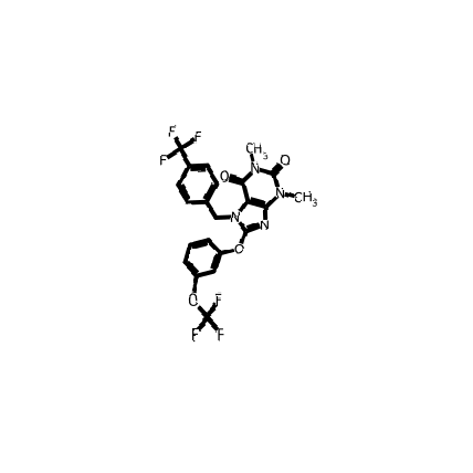 Cn1c(=O)c2c(nc(Oc3cccc(OC(F)(F)F)c3)n2Cc2ccc(C(F)(F)F)cc2)n(C)c1=O